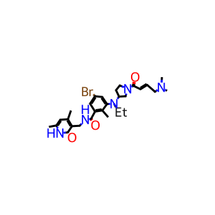 CCN(c1cc(Br)cc(C(=O)NCc2c(C)cc(C)[nH]c2=O)c1C)C1CCN(C(=O)C=CCN(C)C)C1